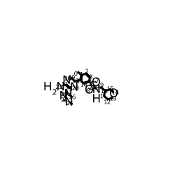 Cc1ccc(S(=O)(=O)NCC2CCCOC2)cc1-c1cnc(N)c(-n2cncn2)n1